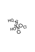 OC[C@H]1CCN1C1=NC(O)N(c2ccccc2)c2cc(Cl)ccc21